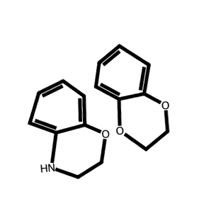 c1ccc2c(c1)NCCO2.c1ccc2c(c1)OCCO2